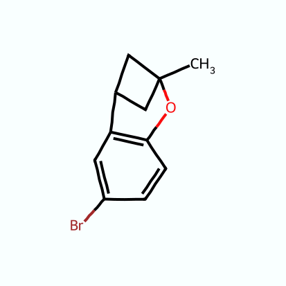 CC12CC(C1)c1cc(Br)ccc1O2